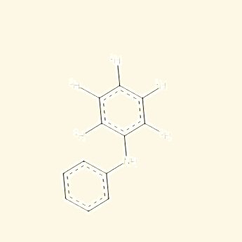 [2H]c1c([2H])c([2H])c(Nc2ccccc2)c([2H])c1[2H]